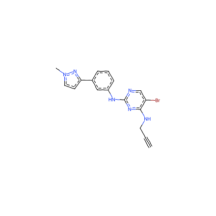 C#CCNc1nc(Nc2cccc(-c3ccn(C)n3)c2)ncc1Br